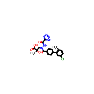 Cc1ccc(Cl)cc1-c1ccc(CN(CC(C)(O)C(=O)O)NC(=O)c2nnn[nH]2)cc1